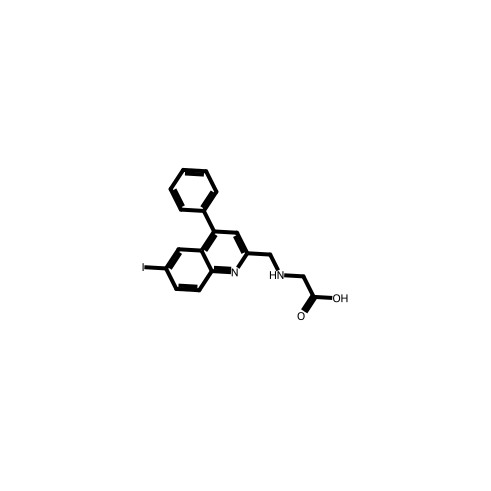 O=C(O)CNCc1cc(-c2ccccc2)c2cc(I)ccc2n1